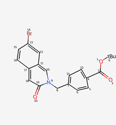 CC(C)(C)OC(=O)c1ccc(Cn2cc3cc(Br)ccc3cc2=O)cc1